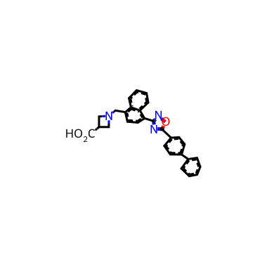 O=C(O)C1CN(Cc2ccc(-c3noc(-c4ccc(-c5ccccc5)cc4)n3)c3ccccc23)C1